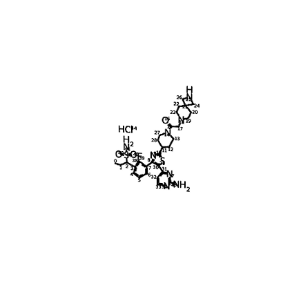 CCC(c1cccc(-c2nc(C3CCN(C(=O)CN4CCC5(CC4)CNC5)CC3)sc2-c2ccnc(N)n2)c1F)S(N)(=O)=O.Cl